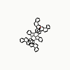 c1ccc2c(c1)N(c1ccc3ccc4c5ccccc5ccc4c3c1)C(C1N(c3ccc4ccc5c6ccccc6ccc5c4c3)c3ccccc3N1c1ccc3ccc4c5ccccc5ccc4c3c1)N2c1ccc2ccc3c4ccccc4ccc3c2c1